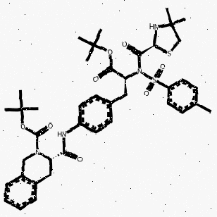 Cc1ccc(S(=O)(=O)N(C(=O)[C@H]2NC(C)(C)CS2)[C@@H](Cc2ccc(NC(=O)[C@@H]3Cc4ccccc4CN3C(=O)OC(C)(C)C)cc2)C(=O)OC(C)(C)C)cc1